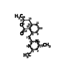 Cc1cc(C)nc(Sc2cccc3c2C(=O)OC(C)C3)n1